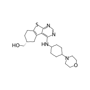 OC[C@@H]1CCc2sc3ncnc(NC4CCC(N5CCOCC5)CC4)c3c2C1